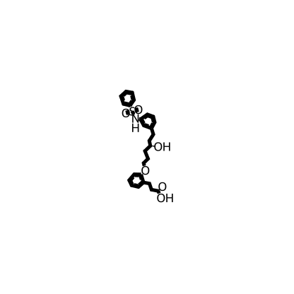 O=C(O)CCc1ccccc1OCCC[C@@H](O)CCc1cccc(NS(=O)(=O)c2ccccc2)c1